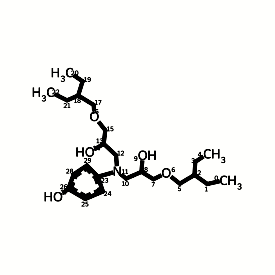 CCC(CC)COCC(O)CN(CC(O)COCC(CC)CC)c1ccc(O)cc1